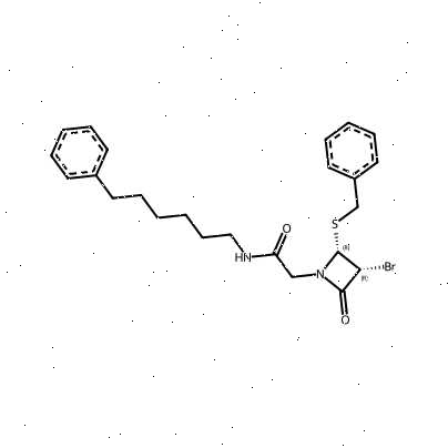 O=C(CN1C(=O)[C@@H](Br)[C@H]1SCc1ccccc1)NCCCCCCc1ccccc1